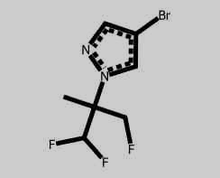 CC(CF)(C(F)F)n1cc(Br)cn1